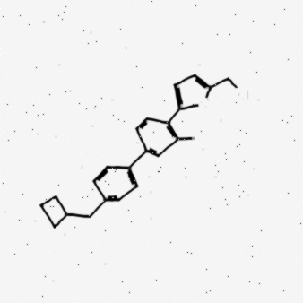 CCc1ccc(-c2ccc(-c3ccc(CC4CCC4)cc3)cc2F)s1